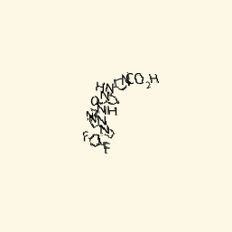 O=C(Nc1cnn2ccc(N3CCC[C@@H]3c3cc(F)ccc3F)nc12)c1cccc(NC2CCN(C(=O)O)CC2)n1